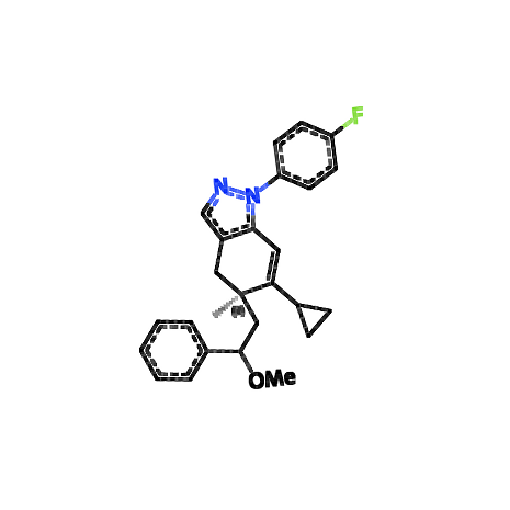 COC(C[C@@]1(C)Cc2cnn(-c3ccc(F)cc3)c2C=C1C1CC1)c1ccccc1